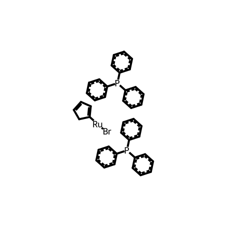 [Br][Ru][C]1=CC=CC1.c1ccc(P(c2ccccc2)c2ccccc2)cc1.c1ccc(P(c2ccccc2)c2ccccc2)cc1